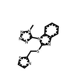 Cn1nnnc1-n1c(SCc2nccs2)nc2ccccc21